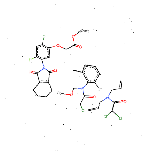 C=CCN(CC=C)C(=O)C(Cl)Cl.CCCCCOC(=O)COc1cc(N2C(=O)C3=C(CCCC3)C2=O)c(F)cc1Cl.CCOCN(C(=O)CCl)c1c(C)cccc1CC